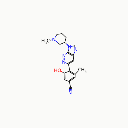 Cc1cc(C#N)cc(O)c1-c1cc2ncn([C@@H]3CCCN(C)C3)c2nn1